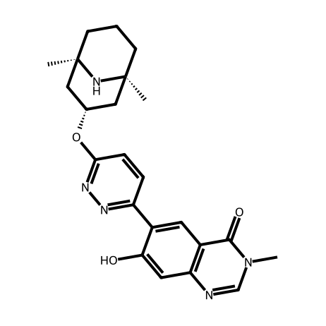 Cn1cnc2cc(O)c(-c3ccc(O[C@H]4C[C@]5(C)CCC[C@](C)(C4)N5)nn3)cc2c1=O